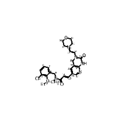 CCOc1c(Cl)cccc1CN(C)C(=O)C=Cc1cnc2c(c1)CN(CCN1CCOCC1)C(=O)N2